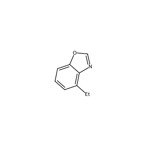 CCc1cccc2ocnc12